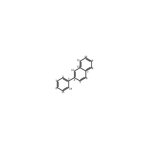 c1ccc(-c2ccc3ccccc3c2)cc1